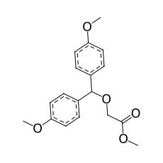 COC(=O)COC(c1ccc(OC)cc1)c1ccc(OC)cc1